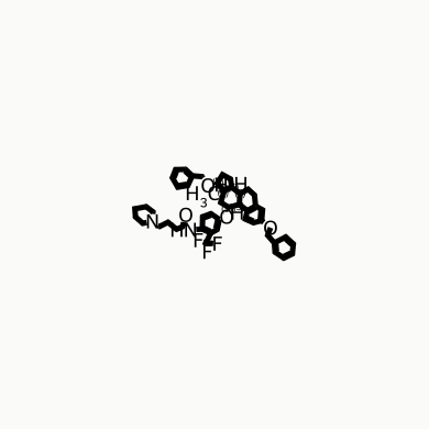 C[C@]12C[C@H](Oc3ccc(NC(=O)CCCN4CCCCC4)c(C(F)(F)F)c3)[C@@H]3c4ccc(OCc5ccccc5)cc4CC[C@H]3[C@@H]1CC[C@@H]2OCc1ccccc1